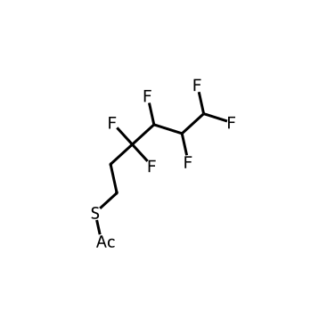 CC(=O)SCCC(F)(F)C(F)C(F)C(F)F